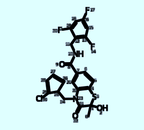 CC1(O)Sc2ccc(C(=O)NCc3c(F)cc(F)cc3F)cc2N(CC2C=CC=C2Cl)C1=O